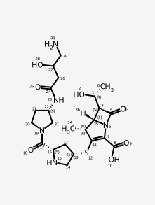 C[C@@H](O)[C@H]1C(=O)N2C(C(=O)O)=C(S[C@@H]3CN[C@H](C(=O)N4CC[C@H](NC(=O)CC(O)CN)C4)C3)[C@H](C)[C@H]12